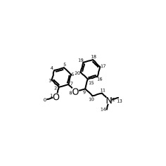 COc1ccccc1OC(CCN(C)C)c1ccccc1